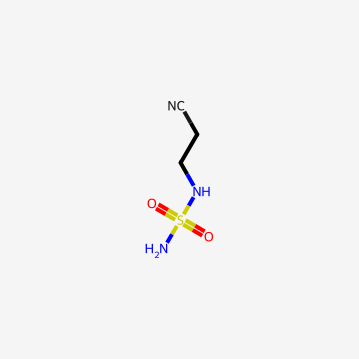 N#CCCNS(N)(=O)=O